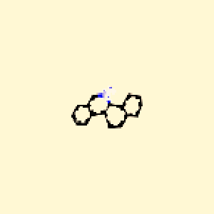 C[n+]1cc2ccccc2c2ccc3ccccc3c21